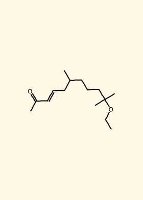 CCOC(C)(C)CCCC(C)CC=CC(C)=O